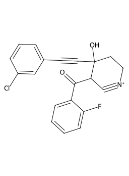 O=C(c1ccccc1F)C1C#[N+]CCC1(O)C#Cc1cccc(Cl)c1